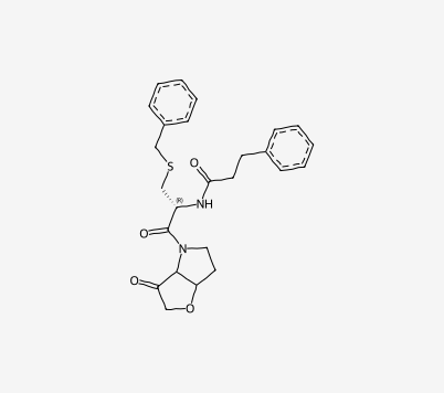 O=C(CCc1ccccc1)N[C@@H](CSCc1ccccc1)C(=O)N1CCC2OCC(=O)C21